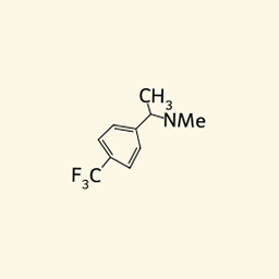 [CH2-][NH2+]C(C)c1ccc(C(F)(F)F)cc1